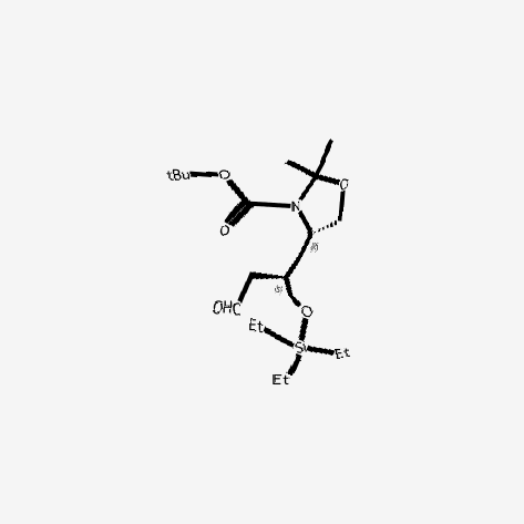 CC[Si](CC)(CC)O[C@@H](CC=O)[C@H]1COC(C)(C)N1C(=O)OC(C)(C)C